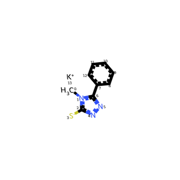 Cn1c([S-])nnc1-c1ccccc1.[K+]